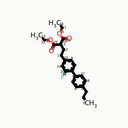 CCCc1ccc(-c2ccc(CCC(C(=O)OCC)C(=O)OCC)cc2F)cc1